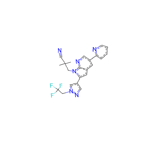 CC(C)(C#N)Cn1c(-c2cnn(CC(F)(F)F)c2)cc2cc(-c3ccccn3)cnc21